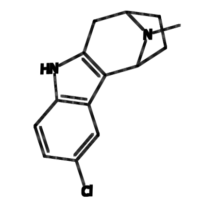 CN1C2CCC1c1c([nH]c3ccc(Cl)cc13)C2